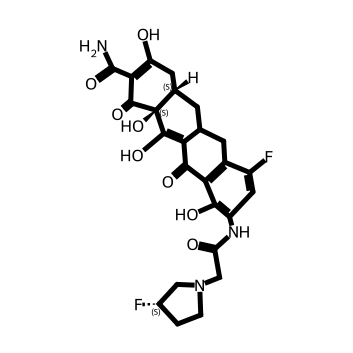 NC(=O)C1=C(O)C[C@@H]2CC3Cc4c(F)cc(NC(=O)CN5CC[C@H](F)C5)c(O)c4C(=O)C3=C(O)[C@]2(O)C1=O